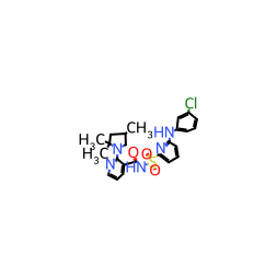 CC1CN(c2ncccc2C(=O)NS(=O)(=O)c2cccc(Nc3cccc(Cl)c3)n2)C(C)(C)C1